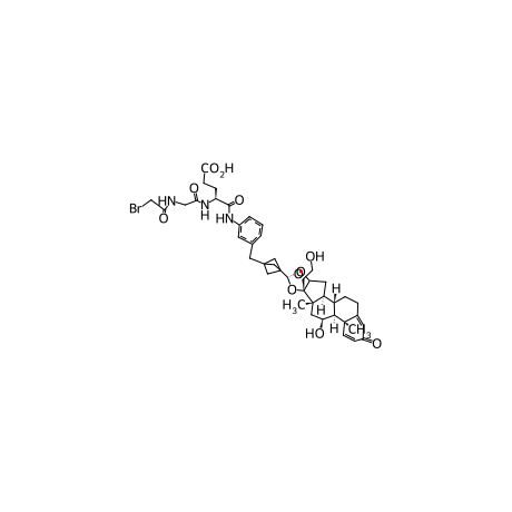 C[C@]12C=CC(=O)C=C1CC[C@@H]1[C@@H]2[C@@H](O)C[C@@]2(C)[C@H]1CC1O[C@@H](C34CC(Cc5cccc(NC(=O)[C@H](CCC(=O)O)NC(=O)CNC(=O)CBr)c5)(C3)C4)O[C@]12C(=O)CO